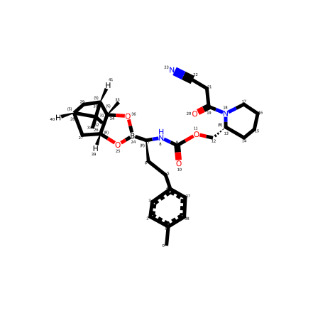 Cc1ccc(CC[C@H](NC(=O)OC[C@H]2CCCCN2C(=O)CC#N)B2O[C@@H]3C[C@@H]4C[C@@H](C4(C)C)[C@]3(C)O2)cc1